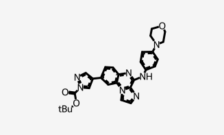 CC(C)(C)OC(=O)n1cc(-c2ccc3nc(Nc4ccc(N5CCOCC5)cc4)c4nccn4c3c2)cn1